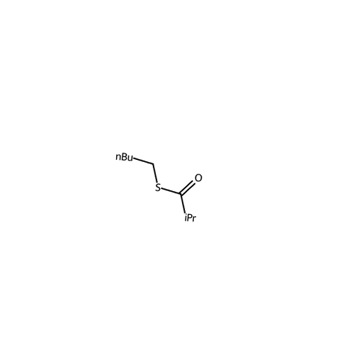 [CH2]CCCCSC(=O)C(C)C